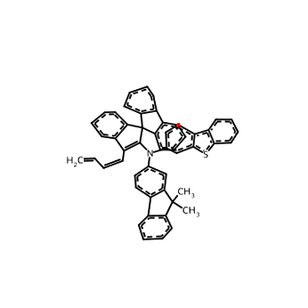 C=C/C=C\C1=C(N(c2ccc3c(c2)C(C)(C)c2ccccc2-3)c2ccc3c(c2)sc2ccccc23)C2(c3ccccc31)c1ccccc1-c1ccccc12